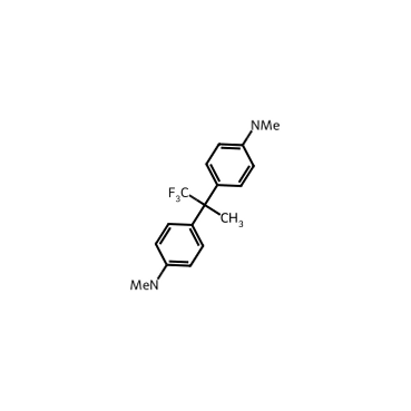 CNc1ccc(C(C)(c2ccc(NC)cc2)C(F)(F)F)cc1